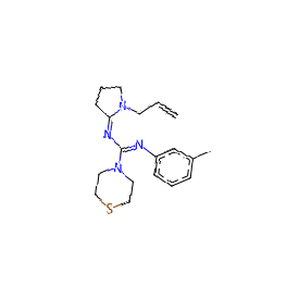 C=CCN1CCC/C1=N/C(=N/c1cccc(C)c1)N1CCSCC1